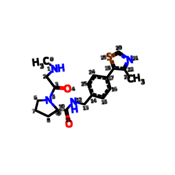 CNCC(=O)N1CCC[C@H]1C(=O)NCc1ccc(-c2scnc2C)cc1